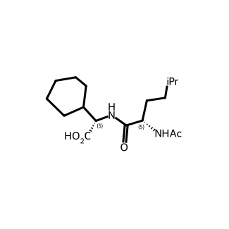 CC(=O)N[C@@H](CCC(C)C)C(=O)N[C@H](C(=O)O)C1CCCCC1